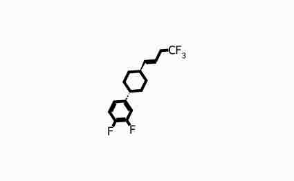 Fc1ccc([C@H]2CC[C@H](C=CCC(F)(F)F)CC2)cc1F